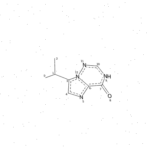 CC(C)c1cnc2c(=O)[nH]cnn12